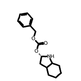 O=C(OCc1ccccc1)O[C@H]1CC2CCCCC2N1